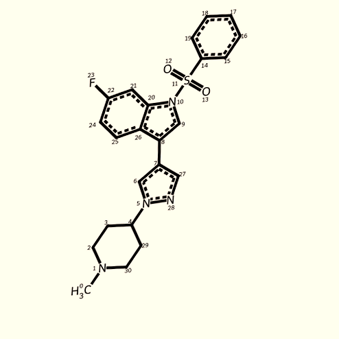 CN1CCC(n2cc(-c3cn(S(=O)(=O)c4ccccc4)c4cc(F)ccc34)cn2)CC1